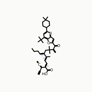 C#CC(=C=C)\C(=C/C=C(C)/C(=C/CCC)CC(C)(C)C(=C)C(=O)c1cc2nc(C3CCC(C)(C)CC3)cc(C(C)(C)C)c2o1)C(=O)O